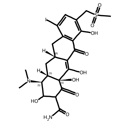 CN(C)[C@@H]1C(O)C(C(N)=O)C(=O)[C@@]2(O)C(O)=C3C(=O)c4c(O)c(CS(C)(=O)=O)cc(I)c4C[C@H]3C[C@@H]12